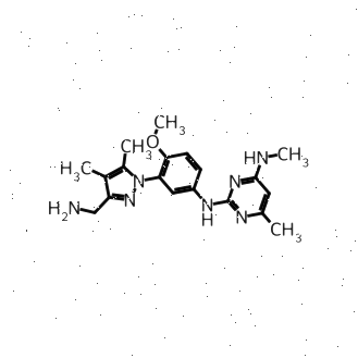 CNc1cc(C)nc(Nc2ccc(OC)c(-n3nc(CN)c(C)c3C)c2)n1